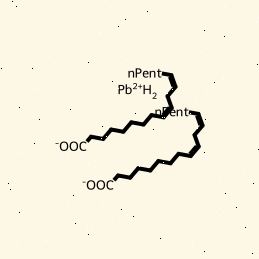 CCCCC/C=C\C/C=C\CCCCCCCC(=O)[O-].CCCCC/C=C\C/C=C\CCCCCCCC(=O)[O-].[PbH2+2]